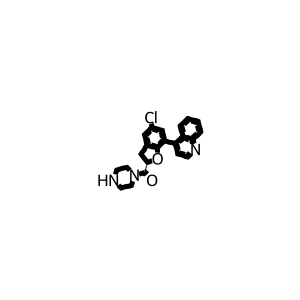 O=C([C@@H]1Cc2cc(Cl)cc(-c3ccnc4ccccc34)c2O1)N1CCNCC1